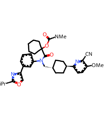 CNC(=O)OC1(C(=O)N(C[C@H]2CC[C@H](c3ccc(OC)c(C#N)n3)CC2)c2cccc(-c3coc(C(C)C)n3)c2)CCCCC1